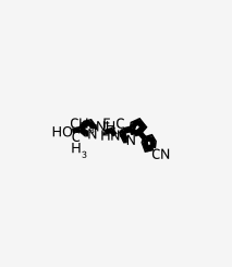 CC(C)(O)c1ccc(NCCNc2cnc3c(-c4ccc(C#N)cc4)cccc3c2C(F)(F)F)nc1